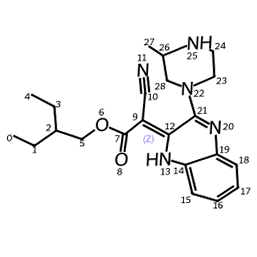 CCC(CC)COC(=O)/C(C#N)=C1\Nc2ccccc2N=C1N1CCNC(C)C1